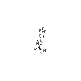 Cc1cc(N(C2CC2)[C@@H]2CCCN(C)C2)nnc1-c1ccc(C(F)(F)F)cc1